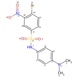 CN(C)c1ccc(NS(=O)(=O)c2ccc(Br)c([N+](=O)[O-])c2)cc1